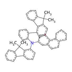 CC1(C)c2ccccc2-c2c(-c3ccccc3N(c3ccc4c(ccc5ccccc54)c3)c3cccc4c3C(C)(C)c3ccccc3-4)cccc21